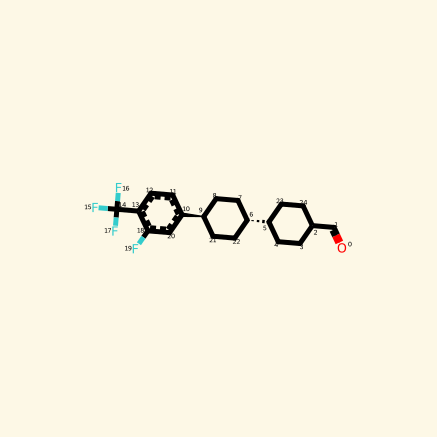 O=CC1CCC([C@H]2CC[C@H](c3ccc(C(F)(F)F)c(F)c3)CC2)CC1